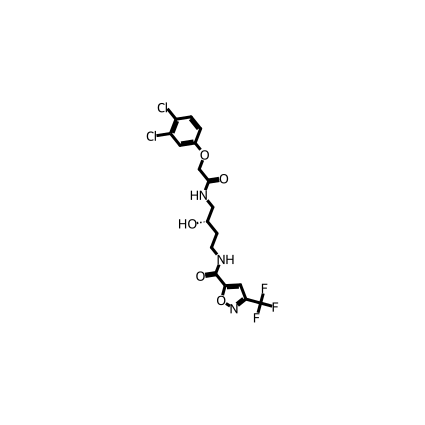 O=C(COc1ccc(Cl)c(Cl)c1)NC[C@@H](O)CCNC(=O)c1cc(C(F)(F)F)no1